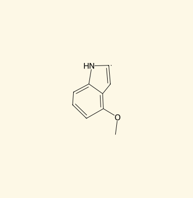 COc1cccc2[nH][c]cc12